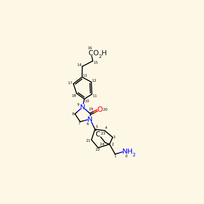 NCC12CCC(N3CCN(c4ccc(CCC(=O)O)cc4)C3=O)(CC1)CC2